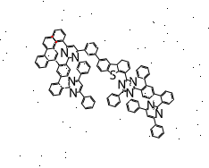 C1=CC(c2nc(-c3ccccc3)nc(-c3ccc(-c4ccccc4-c4nc(-c5ccccc5)cc(-c5ccccc5)n4)cc3-c3ccccc3)n2)=C2Sc3ccc(-c4cccc(-c5cc(-c6ccccc6)nc(-c6ccc(-c7ccccc7-c7nc(-c8ccccc8)cc(-c8ccccc8)n7)cc6-c6cc7ccccc7c7ccccc67)n5)c4)cc3C2C1